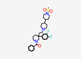 CS(=O)(=O)N1CCC(C2CCN(CC[C@]3(c4ccc(F)c(F)c4)CCCN(C(=O)c4ccccc4)C3)CC2)CC1